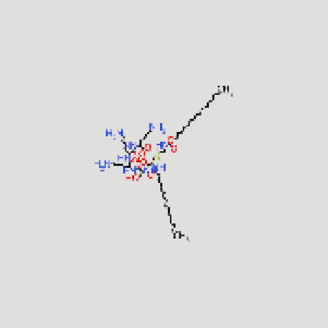 CCCCCCCCCCCCCCCCOC(=O)NCCSCC(NC(=O)CCCCCCCCCCCCCCC)C(=O)NC(CO)C(=O)NC(CCCCN)C(=O)NC(CCCCN)C(=O)NC(CCCCN)C(=O)O